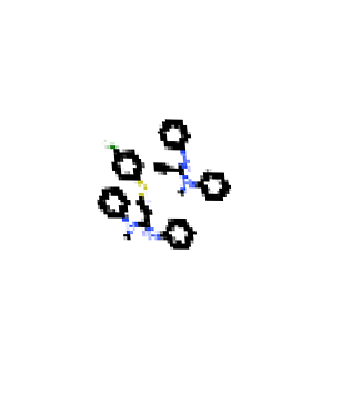 C#C/C(=N\c1ccccc1)N(C)c1ccccc1.CN(C(/C=C/Sc1ccc(Cl)cc1)=N/c1ccccc1)c1ccccc1